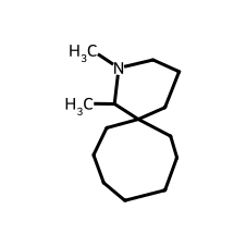 CC1N(C)CCCC12CCCCCCC2